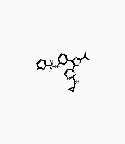 CC(C)c1nc(-c2cccc(NS(=O)(=O)c3cccc(F)c3)c2)c(-c2ccnc(NC3CC3)n2)s1